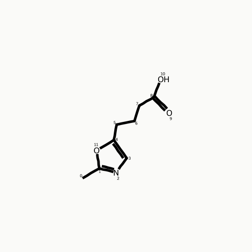 Cc1ncc(CCCC(=O)O)o1